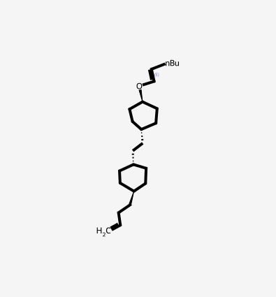 C=CCC[C@H]1CC[C@H](CC[C@H]2CC[C@H](O/C=C/CCCC)CC2)CC1